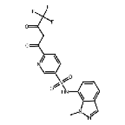 Cn1ncc2cccc(NS(=O)(=O)c3ccc(C(=O)CC(=O)C(F)(F)F)nc3)c21